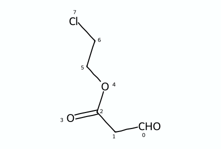 O=CCC(=O)OCCCl